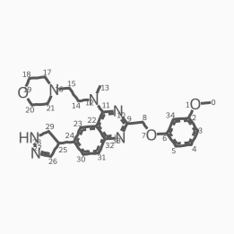 COc1cccc(OCc2nc(N(C)CCN3CCOCC3)c3cc(C4C=NNC4)ccc3n2)c1